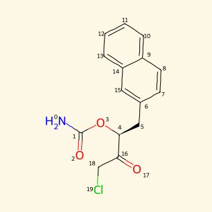 NC(=O)O[C@@H](Cc1ccc2ccccc2c1)C(=O)CCl